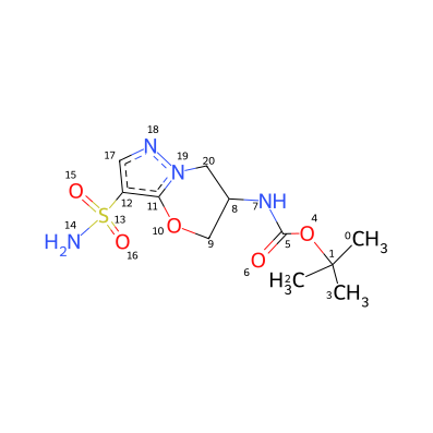 CC(C)(C)OC(=O)NC1COc2c(S(N)(=O)=O)cnn2C1